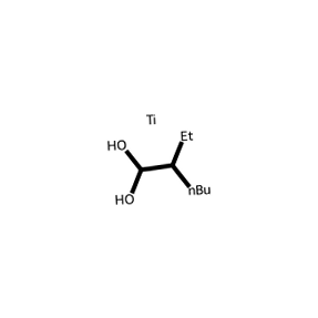 CCCCC(CC)C(O)O.[Ti]